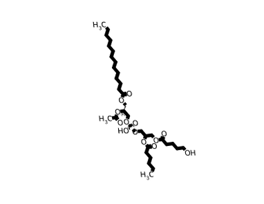 CCCCCCCCCCCCCC(=O)OC[C@H](COP(=O)(O)OCC(COC(=O)CCCCO)OC(=O)CCCCC)OC(C)=O